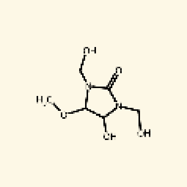 COC1C(O)N(CO)C(=O)N1CO